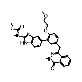 COCCOc1ccc(Cc2n[nH]c(=O)c3ccccc23)cc1-c1ccc2[nH]c(NC(=O)OC)nc2c1